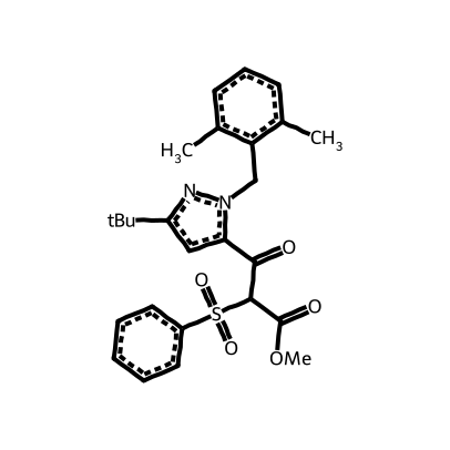 COC(=O)C(C(=O)c1cc(C(C)(C)C)nn1Cc1c(C)cccc1C)S(=O)(=O)c1ccccc1